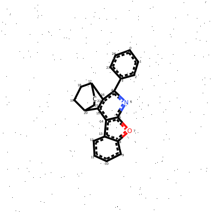 c1ccc(-c2nc3oc4ccccc4c3c3c2C2CCC3CC2)cc1